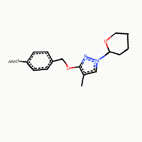 [CH2]c1cn(C2CCCCO2)nc1OCc1ccc(OC)cc1